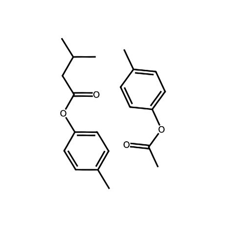 CC(=O)Oc1ccc(C)cc1.Cc1ccc(OC(=O)CC(C)C)cc1